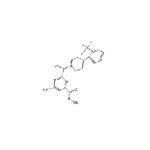 COC(=O)c1cc(C)nc(C(O)N2CCC(c3ccccc3C(F)(F)F)CC2)n1